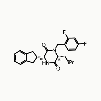 CC(C)C[C@@H]1C(=O)N[C@H](C2Cc3ccccc3C2)C(=O)N1Cc1ccc(F)cc1F